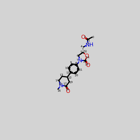 CC(=O)NC[C@H]1CN(c2ccc(C3CCN(C)C(=O)C3)cc2)C(=O)O1